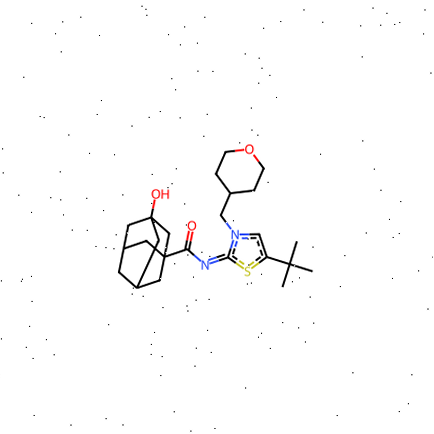 CC(C)(C)c1cn(CC2CCOCC2)c(=NC(=O)C23CC4CC(CC(O)(C4)C2)C3)s1